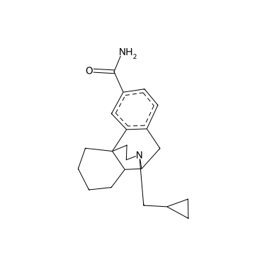 NC(=O)c1ccc2c(c1)C13CCCCC1C(C2)N(CC1CC1)CC3